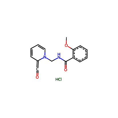 COc1ccccc1C(=O)NCN1C=CC=CC1=C=O.Cl